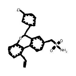 C=Cc1cccc2c1-c1ccc(CS(N)(=O)=O)cc1C(c1cccc(Cl)c1)O2